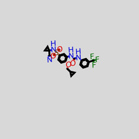 N#CC1(NS(=O)(=O)c2ccc(OCC3CC3)c(NC(=O)Nc3cccc(C(F)(F)F)c3)c2)CC1